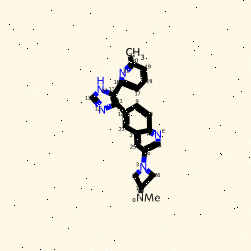 CNC1CN(c2cnc3ccc(-c4nc[nH]c4-c4cccc(C)n4)cc3c2)C1